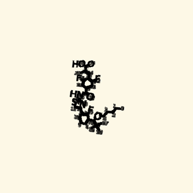 CCCCCOC(c1cccc(-c2csc(NC(=O)c3cc(F)c(C=C(C)C(=O)O)c(F)c3)n2)c1F)C(C)(C)C